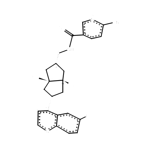 N#Cc1ccc(C(=O)NC[C@@H]2C[C@@H]3C[C@H](c4ccnc5ccc(F)cc45)C[C@@H]3C2)cn1